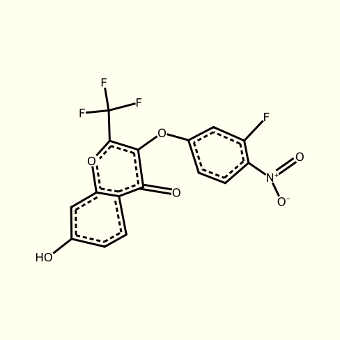 O=c1c(Oc2ccc([N+](=O)[O-])c(F)c2)c(C(F)(F)F)oc2cc(O)ccc12